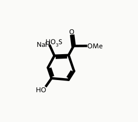 COC(=O)c1ccc(O)cc1S(=O)(=O)O.[NaH]